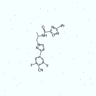 CC(Cn1ccc(-c2cc(F)c(C#N)c(F)c2)n1)NC(=O)c1nc(C(C)C)no1